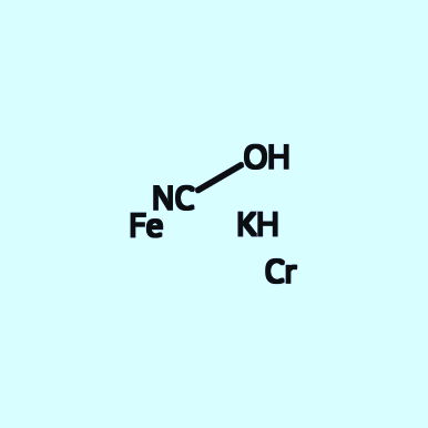 N#CO.[Cr].[Fe].[KH]